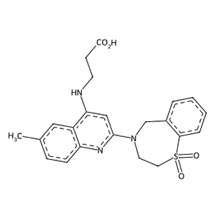 Cc1ccc2nc(N3CCS(=O)(=O)c4ccccc4C3)cc(NCCC(=O)O)c2c1